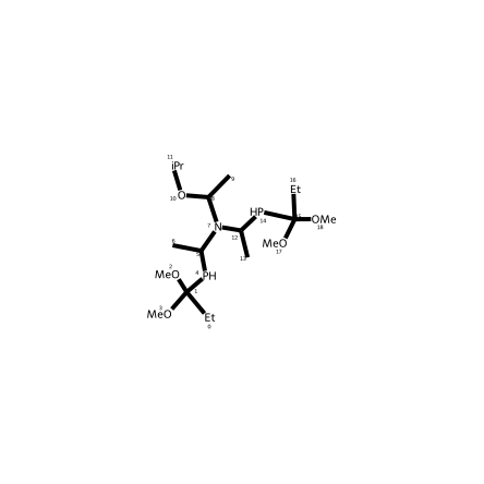 CCC(OC)(OC)PC(C)N(C(C)OC(C)C)C(C)PC(CC)(OC)OC